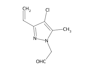 C=Cc1nn(CC=O)c(C)c1Cl